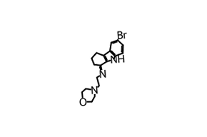 Brc1ccc2[nH]c3c(c2c1)CCC/C3=N\CCN1CCOCC1